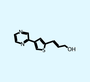 OCC=Cc1cc(-c2cnccn2)cs1